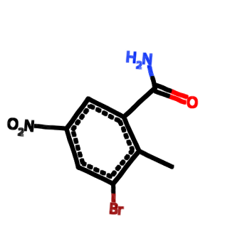 Cc1c(Br)cc([N+](=O)[O-])cc1C(N)=O